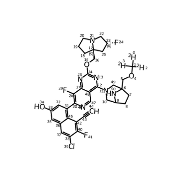 [2H]C([2H])([2H])OCC12CCC(CN(c3nc(OC[C@@]45CCCN4C[C@H](F)C5)nc4c(F)c(-c5cc(O)cc6cc(Cl)c(F)c(C#C)c56)ncc34)C1)N2